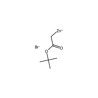 CC(C)(C)OC(=O)[CH2][Zn+].[Br-]